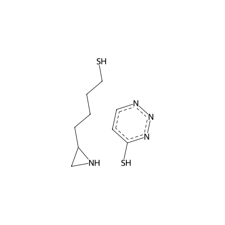 SCCCCC1CN1.Sc1ccnnn1